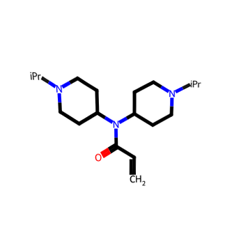 C=CC(=O)N(C1CCN(C(C)C)CC1)C1CCN(C(C)C)CC1